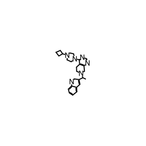 CC(c1cnc2ccccc2c1)N1CCc2c(ncnc2N2CCN(C3CCC3)CC2)C1